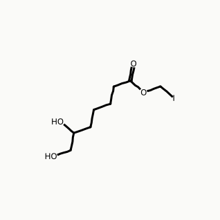 O=C(CCCCC(O)CO)OCI